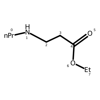 CCCNCCC(=O)OCC